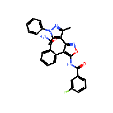 Cc1nn(-c2ccccc2)c(C)c1-c1noc(NC(=O)c2cccc(F)c2)c1-c1ccccc1C(N)=O